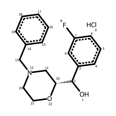 Cl.OC(c1cccc(F)c1)[C@H]1CN(Cc2ccccc2)CCO1